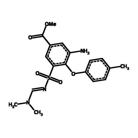 COC(=O)c1cc(N)c(Oc2ccc(C)cc2)c(S(=O)(=O)N=CN(C)C)c1